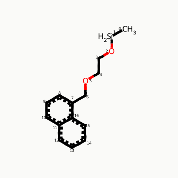 C[SiH2]OCCOCc1cccc2ccccc12